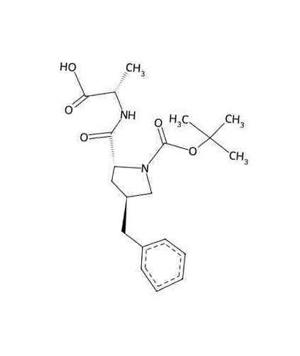 C[C@H](NC(=O)[C@H]1C[C@H](Cc2ccccc2)CN1C(=O)OC(C)(C)C)C(=O)O